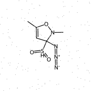 CC1=CC(N=[N+]=[N-])([SH](=O)=O)N(C)O1